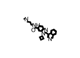 CN(C)CCCNC(=O)c1ccc2nc(-c3cncc4ccccc34)n(C3CCC3)c2c1